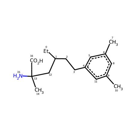 CCC(CCc1cc(C)cc(C)c1)CC(C)(N)C(=O)O